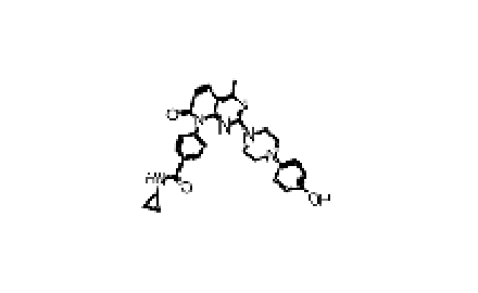 Cc1nc(N2CCN(c3ccc(O)cc3)CC2)nc2c1ccc(=O)n2-c1ccc(C(=O)NC2CC2)cc1